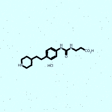 Cl.O=C(O)CCNC(=O)Nc1ccc(CCC2CCNCC2)cc1